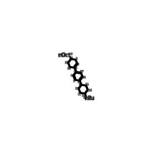 CCCCCCCCC1CC=C(c2ccc(C3CCC(CCCC)CC3)cc2)CC1